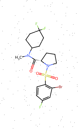 CN(C(=O)[C@@H]1CCCN1S(=O)(=O)c1ccc(F)cc1Br)C1CCC(F)(F)CC1